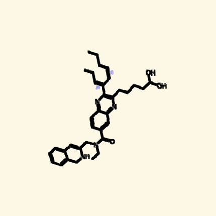 CC/C=C(\C=C/CCC)c1nc2ccc(C(=O)N(CC)CC3=Cc4ccccc4CN3)cc2nc1CCCCC(O)O